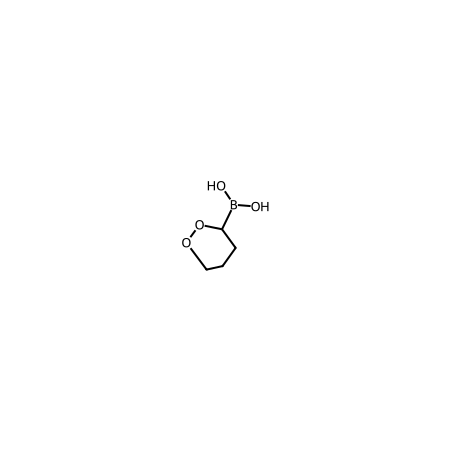 OB(O)C1CCCOO1